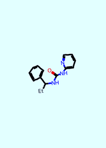 CCC(NC(=O)Nc1ccccn1)c1ccccc1